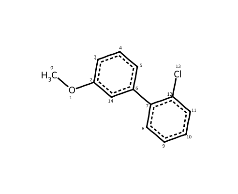 COc1[c]ccc(-c2ccccc2Cl)c1